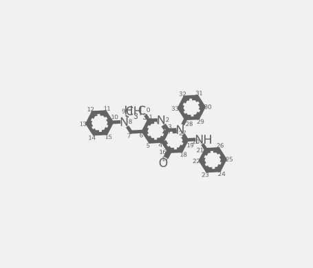 Cc1nc2c(cc1CN(C)c1ccccc1)c(=O)cc(Nc1ccccc1)n2-c1ccccc1